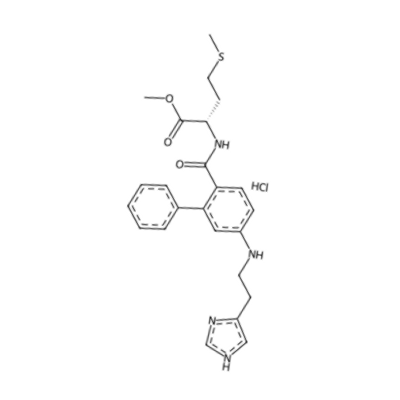 COC(=O)[C@H](CCSC)NC(=O)c1ccc(NCCc2c[nH]cn2)cc1-c1ccccc1.Cl